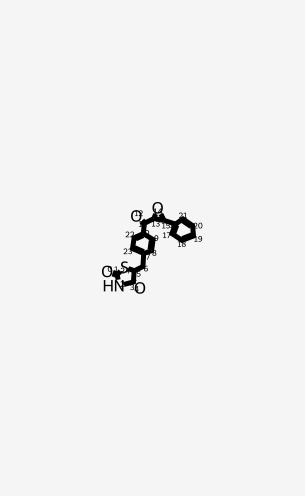 O=C1NC(=O)C(Cc2ccc(C(=O)C3OC3c3ccccc3)cc2)S1